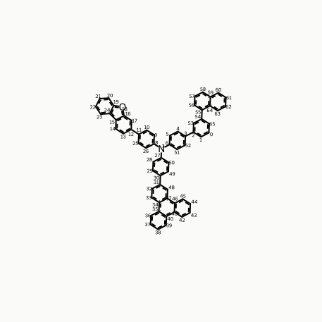 c1cc(-c2ccc(N(c3ccc(-c4ccc5c(c4)oc4ccccc45)cc3)c3ccc(-c4ccc5c6ccccc6c6ccccc6c5c4)cc3)cc2)cc(-c2cccc3ccccc23)c1